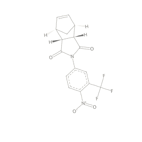 O=C1[C@@H]2[C@H](C(=O)N1c1ccc([N+](=O)[O-])c(C(F)(F)F)c1)[C@H]1C=C[C@@H]2C1